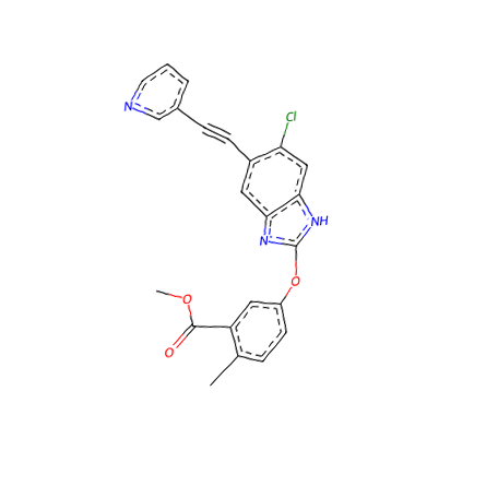 COC(=O)c1cc(Oc2nc3cc(C#Cc4cccnc4)c(Cl)cc3[nH]2)ccc1C